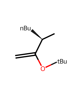 C=C(OC(C)(C)C)[C@H](C)CCCC